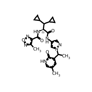 Cc1c[nH]c(=O)c(C(C)n2cc(NC(=O)[C@@H](NC(=O)c3nonc3C)C(C3CC3)C3CC3)cn2)c1